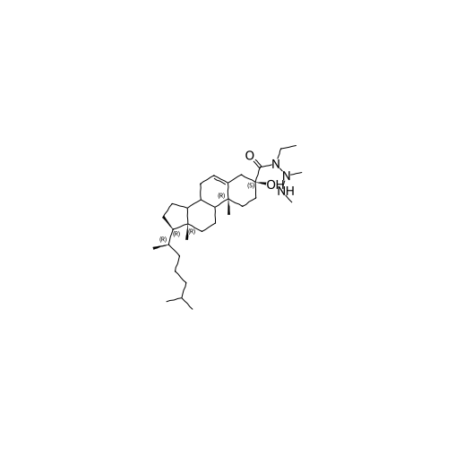 CCN(C(=O)[C@]1(O)CC[C@@]2(C)C(=CCC3C2CC[C@@]2(C)C3CC[C@@H]2[C@H](C)CCCC(C)C)C1)N(C)NC